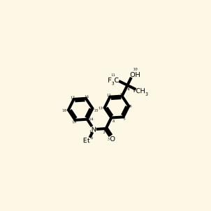 CCN(C(=O)c1ccc(C(C)(O)C(F)(F)F)cc1)c1ccccc1